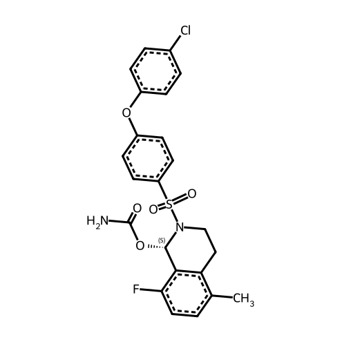 Cc1ccc(F)c2c1CCN(S(=O)(=O)c1ccc(Oc3ccc(Cl)cc3)cc1)[C@H]2OC(N)=O